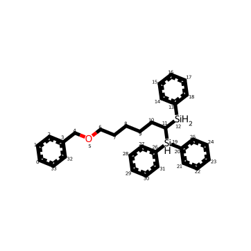 c1ccc(COCCCCCC([SiH2]c2ccccc2)[SiH](c2ccccc2)c2ccccc2)cc1